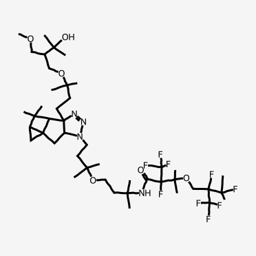 COCC(COC(C)(C)CCC12N=NN(CCC(C)(C)OCCC(C)(C)NC(=O)C(F)(C(F)(F)F)C(C)(C)OCC(F)(C(C)(C)F)C(F)(F)F)C1CC13CC1C(C)(C)C32)C(C)(C)O